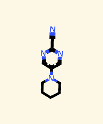 N#Cc1ncc(N2CCCCC2)cn1